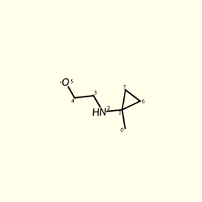 CC1(NCC[O])CC1